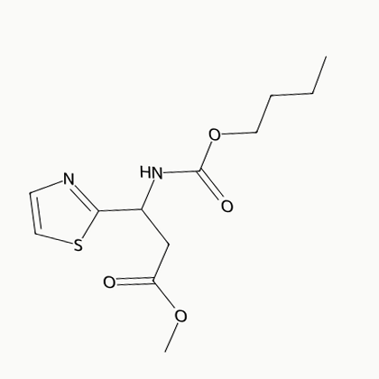 CCCCOC(=O)NC(CC(=O)OC)c1nccs1